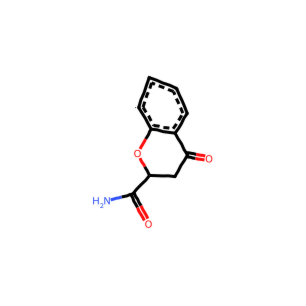 NC(=O)C1CC(=O)c2ccc[c]c2O1